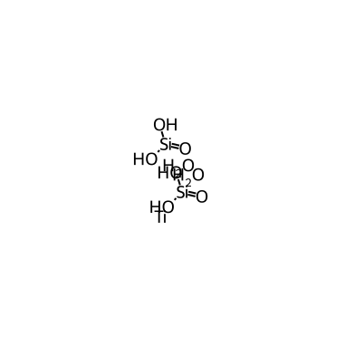 O.O.O=[Si](O)O.O=[Si](O)O.[Ti]